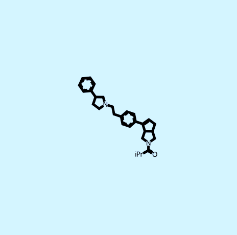 CC(C)C(=O)N1CC2CC=C(c3ccc(CCN4CCC(c5ccccc5)C4)cc3)C2C1